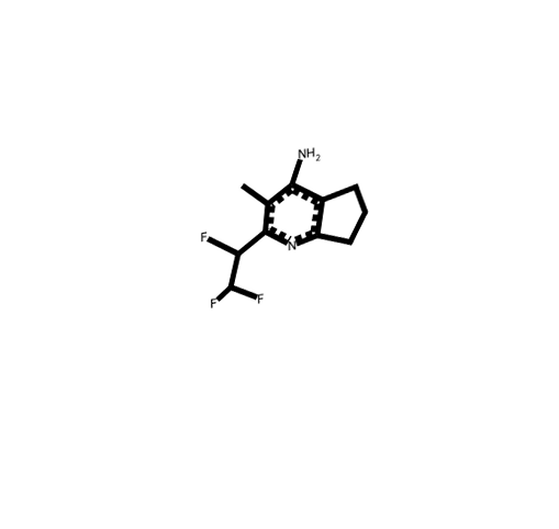 Cc1c(C(F)C(F)F)nc2c(c1N)CCC2